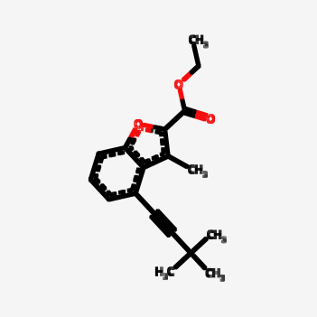 CCOC(=O)c1oc2cccc(C#CC(C)(C)C)c2c1C